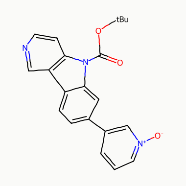 CC(C)(C)OC(=O)n1c2ccncc2c2ccc(-c3ccc[n+]([O-])c3)cc21